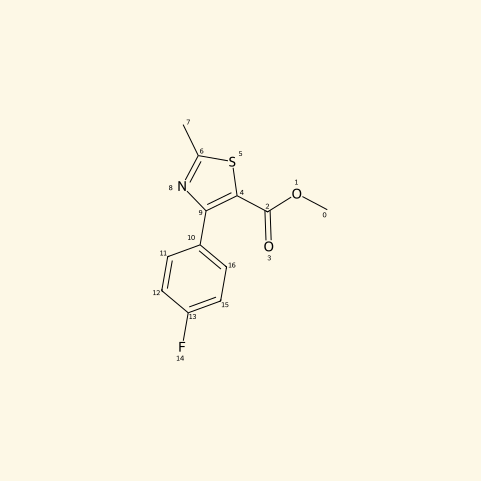 COC(=O)c1sc(C)nc1-c1ccc(F)cc1